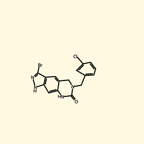 O=C1Nc2cc3[nH]nc(Br)c3cc2CN1Cc1cccc(Cl)c1